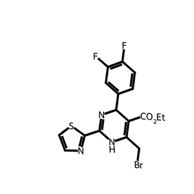 CCOC(=O)C1=C(CBr)NC(c2nccs2)=NC1c1ccc(F)c(F)c1